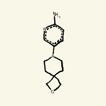 Nc1ccc(N2CCC3(CC2)COC3)cn1